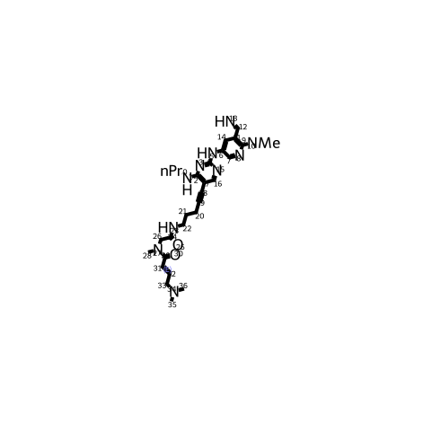 CCCNc1nc(Nc2cnc(NC)c(C=N)c2)ncc1C#CCCCNC(=O)CN(C)C(=O)/C=C/CN(C)C